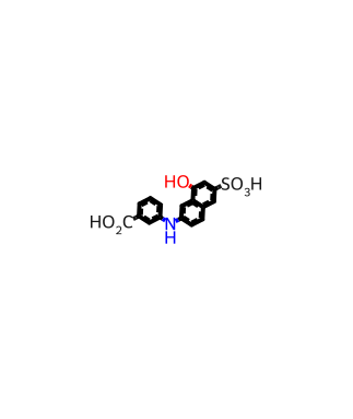 O=C(O)c1cccc(Nc2ccc3cc(S(=O)(=O)O)cc(O)c3c2)c1